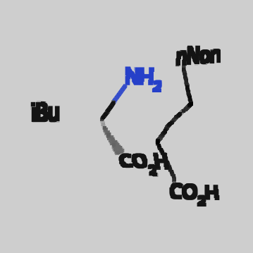 CCCCCCCCCCCC(=O)O.CC[C@H](C)[C@H](N)C(=O)O